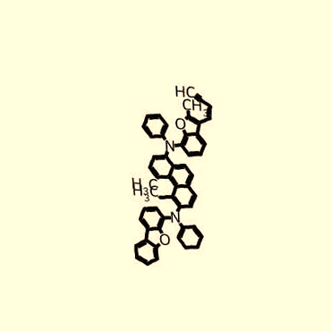 C#C/C=C\c1c(C)oc2c(N(c3ccccc3)c3ccc(C)c4c3ccc3ccc(N(C5=CCCC=C5)c5cccc6c5oc5ccccc56)c(CC)c34)cccc12